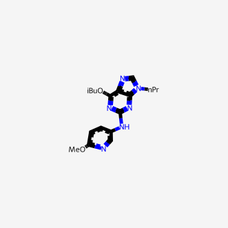 CCCn1cnc2c(OCC(C)C)nc(Nc3ccc(OC)nc3)nc21